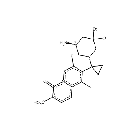 CCC1(CC)C[C@H](N)CN(C2(c3c(F)cn4c(=O)c(C(=O)O)ccc4c3C)CC2)C1